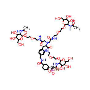 CC(=O)NC1C(OCCOCCNC(=O)CN(CC(=O)NCCOCCOC2OC(CO)C(O)C(O)C2NC(C)=O)C(Cc2ccc(CNC(=O)C3CCC(OP(C)(=O)S)CC3)cc2)C(=O)NCCOCCOC2OC(CO)C(O)C(O)C2NC(C)=O)OC(CO)C(O)C1O